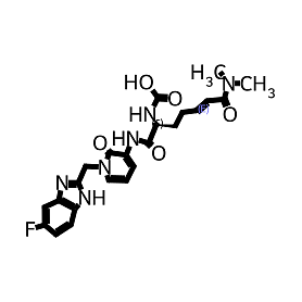 CN(C)C(=O)/C=C/CC[C@H](NC(=O)O)C(=O)Nc1cccn(Cc2nc3cc(F)ccc3[nH]2)c1=O